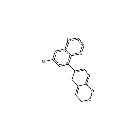 Clc1cc(C2=CC=C3OOCC=C3C2)c2nccnc2c1